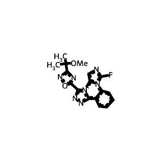 COC(C)(C)c1noc(-c2nnc3c4ccccc4n4c(F)ncc4n23)n1